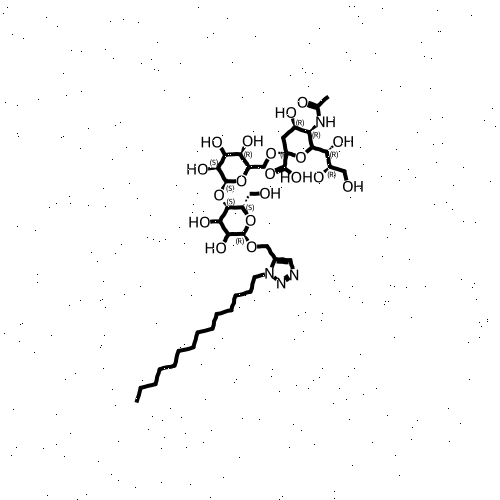 CCCCCCCCCCCCCCn1nncc1CO[C@@H]1O[C@@H](CO)[C@@H](O[C@@H]2OC(CO[C@]3(C(=O)O)C[C@@H](O)[C@@H](NC(C)=O)C([C@H](O)[C@H](O)CO)O3)[C@H](O)C(O)[C@@H]2O)C(O)C1O